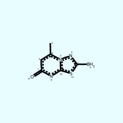 Bc1nn2c(C)cc(=O)nc2s1